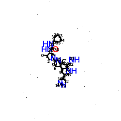 CC1CN(c2ccc(C3=CC(c4cnn(C)c4)=CN/C3=C(/C#N)C=N)cn2)CC1NC(=O)Nc1ccccc1